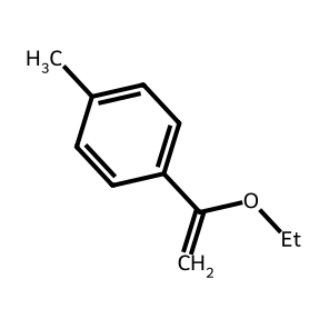 C=C(OCC)c1ccc(C)cc1